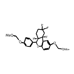 COCOc1ccc(C2Oc3ccc(OCOC)cc3[C@H]3CC(F)(F)CC[C@@H]23)cc1